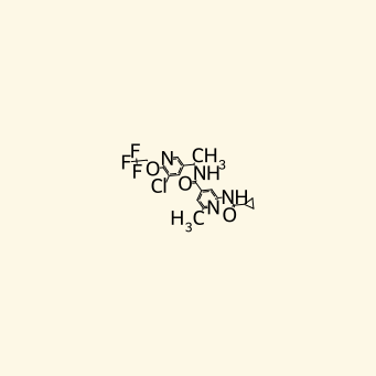 Cc1cc(C(=O)NC(C)c2cnc(OCC(F)(F)F)c(Cl)c2)cc(NC(=O)C2CC2)n1